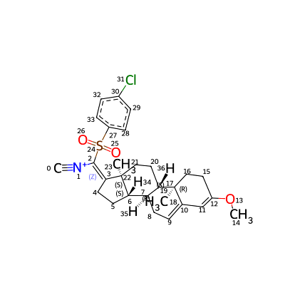 [C-]#[N+]/C(=C1\CC[C@H]2[C@@H]3CC=C4C=C(OC)CC[C@]4(C)[C@H]3CC[C@]12C)S(=O)(=O)c1ccc(Cl)cc1